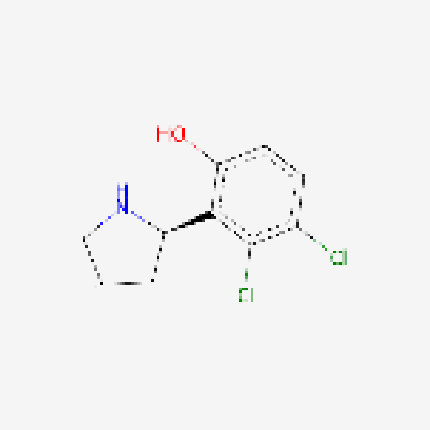 Oc1ccc(Cl)c(Cl)c1[C@H]1C[CH]CN1